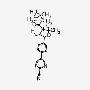 CC(C)(C)OC(=O)N1C(CF)C(c2ccc(-c3cnc(C#N)nc3)cc2)OC1(C)C